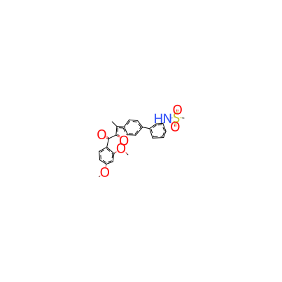 COc1ccc(C(=O)c2oc3cc(-c4cccc(NS(C)(=O)=O)c4)ccc3c2C)c(OC)c1